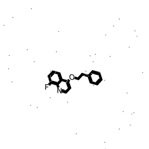 Fc1cccc2c(OCCc3ccccc3)ccnc12